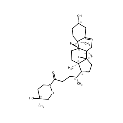 C[C@H](CCC(=O)N1CC[C@](C)(O)CO1)[C@H]1CC[C@H]2[C@@H]3CC=C4C[C@@H](O)CC[C@]4(C)[C@H]3CC[C@]12C